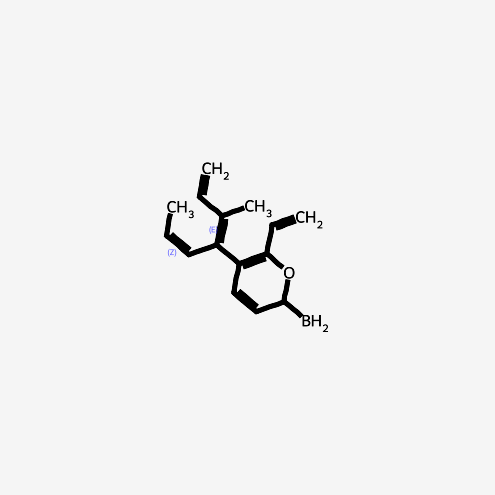 BC1C=CC(C(/C=C\C)=C(\C)C=C)=C(C=C)O1